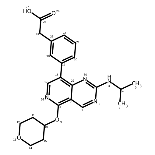 CC(C)Nc1ncc2c(OC3CCOCC3)ncc(-c3cccc(CC(=O)O)c3)c2n1